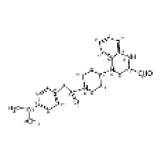 CN(C)c1ccc(CC(=O)N2CCC(N3CC(C=O)Nc4ccccc43)CC2)cc1